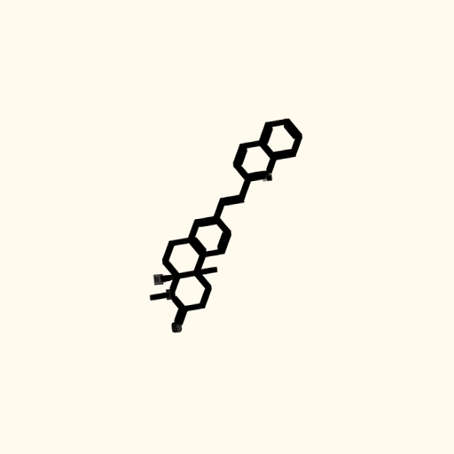 CN1C(=O)CCC2(C)c3ccc(C=Cc4ccc5ccccc5n4)cc3CC[C@@H]12